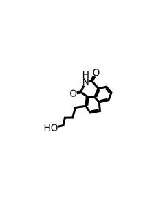 O=C1NC(=O)c2c(CCCCO)ccc3cccc1c23